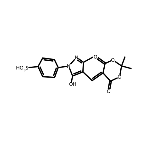 Cc1nn(-c2ccc(S(=O)(=O)O)cc2)c(O)c1C=C1C(=O)OC(C)(C)OC1=O